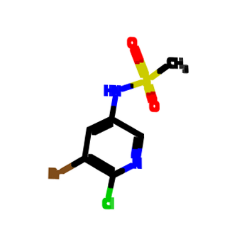 CS(=O)(=O)Nc1cnc(Cl)c(Br)c1